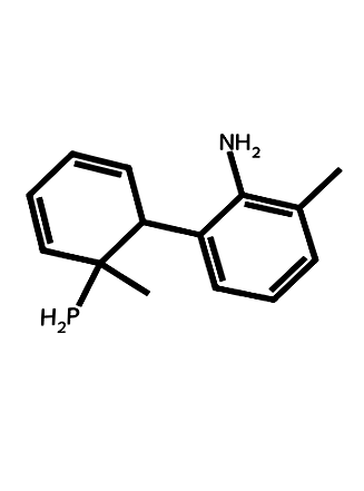 Cc1cccc(C2C=CC=CC2(C)P)c1N